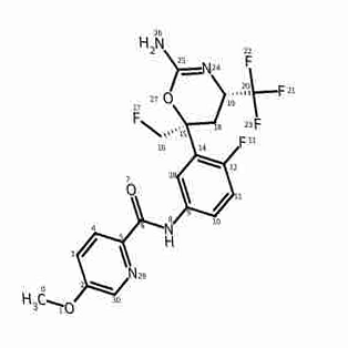 COc1ccc(C(=O)Nc2ccc(F)c([C@]3(CF)C[C@@H](C(F)(F)F)N=C(N)O3)c2)nc1